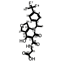 CC(c1ccc(C(F)(F)F)cc1)n1c2c(c(O)c(C(=O)NCC(=O)O)c1=O)COC2